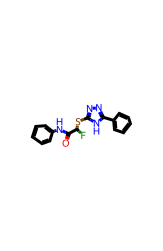 O=C(Nc1ccccc1)C(F)Sc1nnc(-c2ccccc2)[nH]1